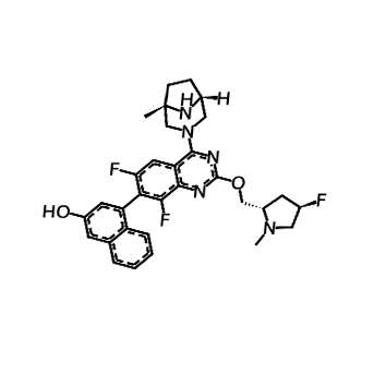 CN1C[C@H](F)C[C@H]1COc1nc(N2C[C@H]3CC[C@@](C)(C2)N3)c2cc(F)c(-c3cc(O)cc4ccccc34)c(F)c2n1